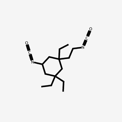 CCC1(CC)CC(N=C=O)CC(CC)(CCN=C=O)C1